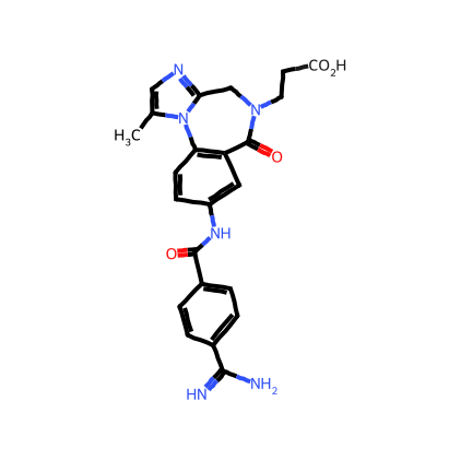 Cc1cnc2n1-c1ccc(NC(=O)c3ccc(C(=N)N)cc3)cc1C(=O)N(CCC(=O)O)C2